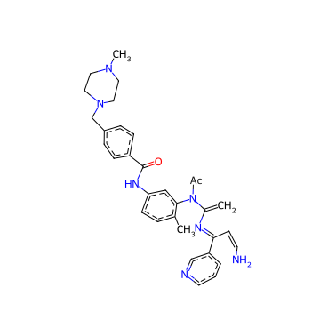 C=C(/N=C(\C=C/N)c1cccnc1)N(C(C)=O)c1cc(NC(=O)c2ccc(CN3CCN(C)CC3)cc2)ccc1C